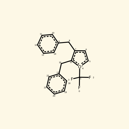 FC(F)(F)[o+]1ccc(Cc2ccccc2)c1Cc1ccccc1